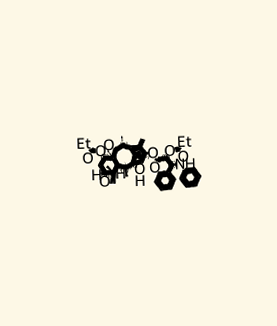 CCC(=O)O[C@H]1C[C@H]2OC[C@@]2(C)[C@H]2[C@H](C)[C@]3(O)C[C@H](OC(=O)[C@H](OC(=O)CC)[C@@H](Nc4ccccc4)c4ccccc4)C(C)=C([C@@H](C)C(=O)[C@]12C)C3(C)C